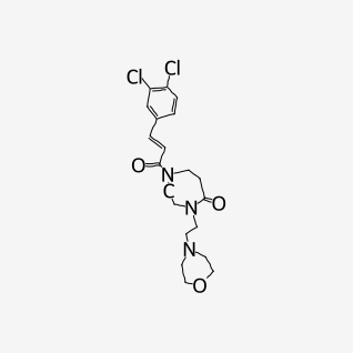 O=C(C=Cc1ccc(Cl)c(Cl)c1)N1CCC(=O)N(CCN2CCOCC2)CC1